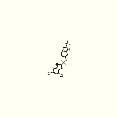 CC(C)(C)c1cn2ccc(CC(C)(C)c3cc4c(Cl)cc(Cl)cc4[nH]3)cc2n1